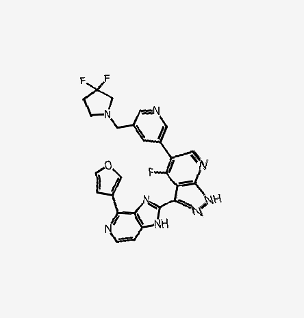 Fc1c(-c2cncc(CN3CCC(F)(F)C3)c2)cnc2[nH]nc(-c3nc4c(-c5ccoc5)nccc4[nH]3)c12